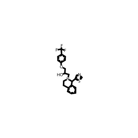 OC(COc1ccc(C(F)(F)F)cc1)CN1CCc2ccccc2C1c1cncs1